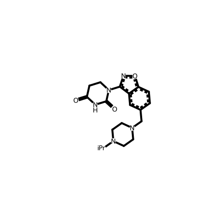 CC(C)N1CCN(Cc2ccc3onc(N4CCC(=O)NC4=O)c3c2)CC1